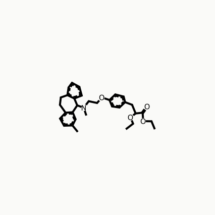 CCOC(=O)C(Cc1ccc(OCCN(C)C2c3ccccc3CCc3ccc(C)cc32)cc1)OCC